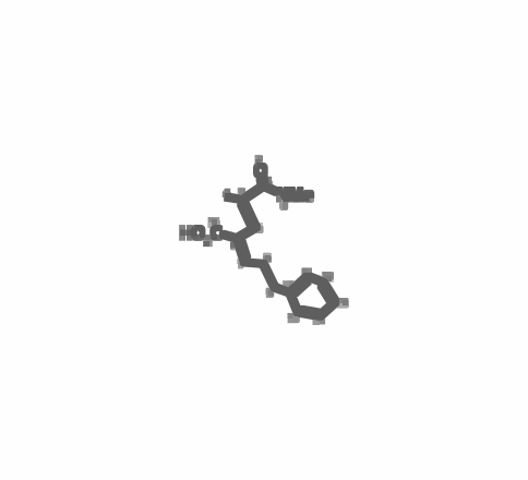 CNC(=O)/C(C)=C/C(=C\CCc1ccccc1)C(=O)O